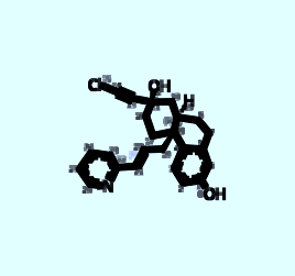 Oc1ccc2c(c1)CC[C@@H]1C[C@@](O)(C#CCl)CC[C@@]21C/C=C/c1ccccn1